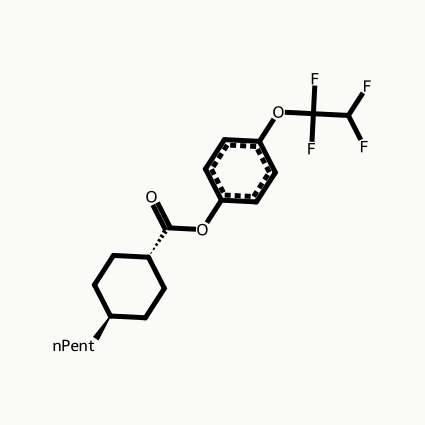 CCCCC[C@H]1CC[C@H](C(=O)Oc2ccc(OC(F)(F)C(F)F)cc2)CC1